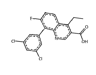 CCc1c(C(=O)O)cnc2c(-c3cc(Cl)cc(Cl)c3)c(F)ccc12